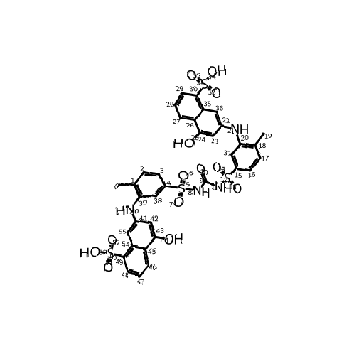 Cc1ccc(S(=O)(=O)NC(=O)NS(=O)(=O)c2ccc(C)c(Nc3cc(O)c4cccc(S(=O)(=O)O)c4c3)c2)cc1Nc1cc(O)c2cccc(S(=O)(=O)O)c2c1